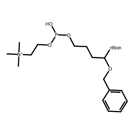 CCCCCCCCCC(CCCOP(O)OCC[N+](C)(C)C)OCc1ccccc1